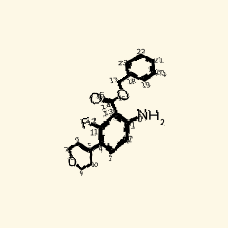 Nc1ccc(C2=CCOCC2)c(F)c1C(=O)OCc1ccccc1